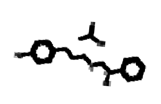 CC(=O)O.Oc1ccc(CCCNC[C@H](O)c2ccccc2)cc1